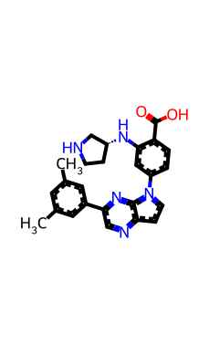 Cc1cc(C)cc(-c2cnc3ccn(-c4ccc(C(=O)O)c(N[C@@H]5CCNC5)c4)c3n2)c1